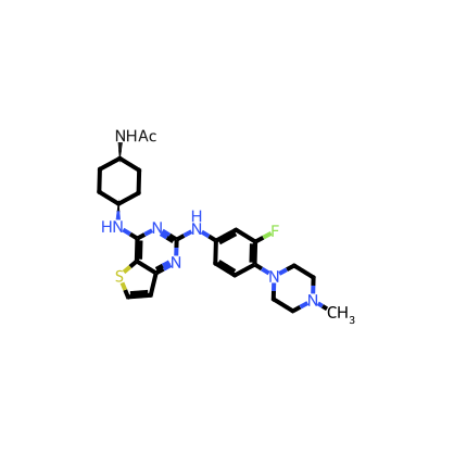 CC(=O)N[C@H]1CC[C@@H](Nc2nc(Nc3ccc(N4CCN(C)CC4)c(F)c3)nc3ccsc23)CC1